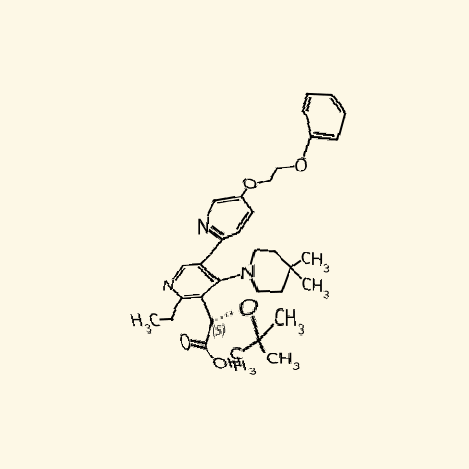 CCc1ncc(-c2ccc(OCCOc3ccccc3)cn2)c(N2CCC(C)(C)CC2)c1[C@H](OC(C)(C)C)C(=O)O